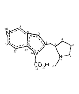 CN1CCCC1c1cc2cnccc2n1C(=O)O